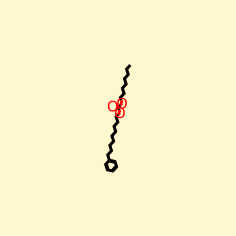 CCCCCCCCOC(=O)OCCCCCCCCCc1ccccc1